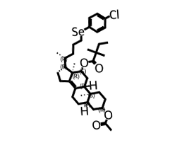 CCC(C)(C)C(=O)O[C@H]1C[C@H]2C(=C3CC[C@H]([C@H](C)CCC[Se]c4ccc(Cl)cc4)[C@]31C)CC[C@@H]1C[C@H](OC(C)=O)CC[C@@]12C